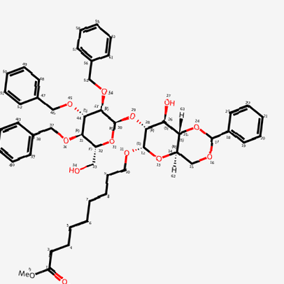 COC(=O)CCCCCCCCO[C@H]1O[C@@H]2COC(c3ccccc3)O[C@H]2[C@H](O)[C@H]1O[C@H]1O[C@H](CO)[C@@H](OCc2ccccc2)[C@H](OCc2ccccc2)[C@H]1OCc1ccccc1